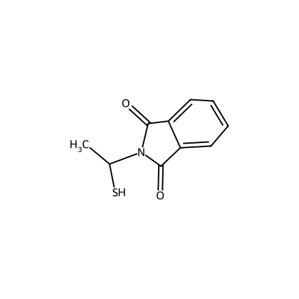 CC(S)N1C(=O)c2ccccc2C1=O